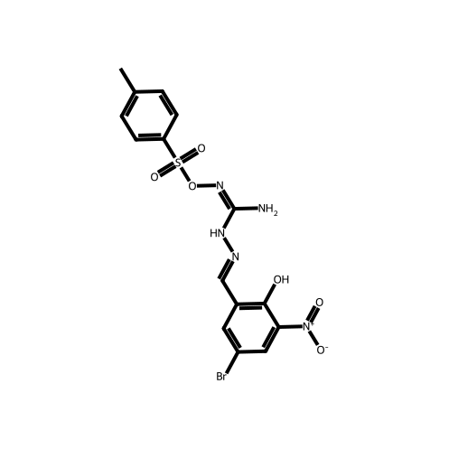 Cc1ccc(S(=O)(=O)ON=C(N)NN=Cc2cc(Br)cc([N+](=O)[O-])c2O)cc1